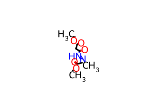 CCOC(=O)CC(=O)NN=C(C)C(=O)OCC